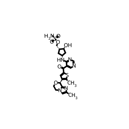 Cc1cn2c(n1)[C@H](c1cc(C(=O)c3cncnc3N[C@@H]3C[C@H](COS(N)(=O)=O)[C@@H](O)C3)sc1C)OCC2